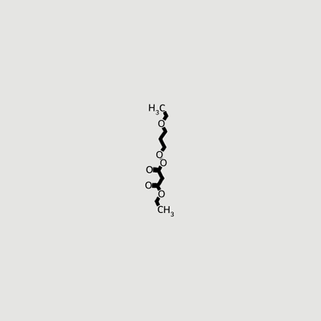 CCOCCCOOC(=O)CC(=O)OCC